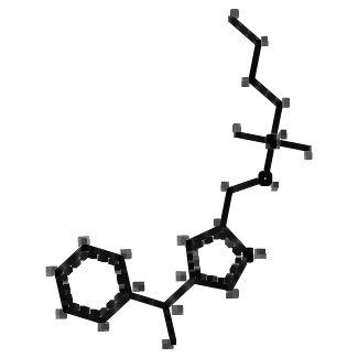 CCCC[Si](C)(C)OCc1cc(C(C)c2ccccc2)cs1